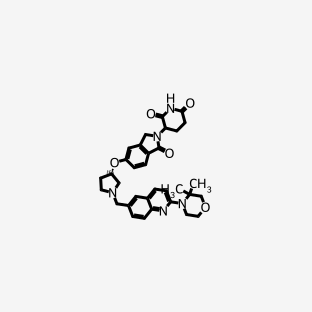 CC1(C)COCCN1c1ccc2cc(CN3CC[C@H](Oc4ccc5c(c4)CN(C4CCC(=O)NC4=O)C5=O)C3)ccc2n1